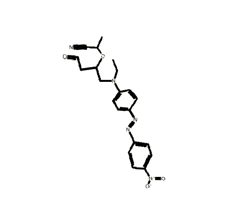 CCN(CC(CC=O)OC(C)C#N)c1ccc(N=Nc2ccc([N+](=O)[O-])cc2)cc1